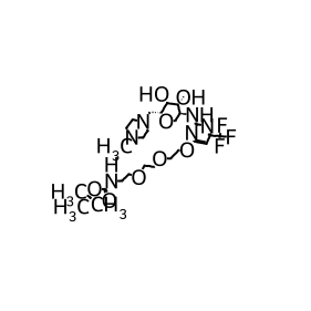 CN1CCN(C[C@H]2OC[C@H](Nc3nc(OCCOCCOCCNC(=O)OC(C)(C)C)cc(C(F)(F)F)n3)[C@@H](O)[C@H]2O)CC1